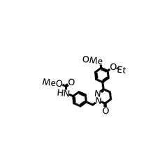 CCOc1cc(C2=NN(Cc3ccc(NC(=O)OC)cc3)C(=O)CC2)ccc1OC